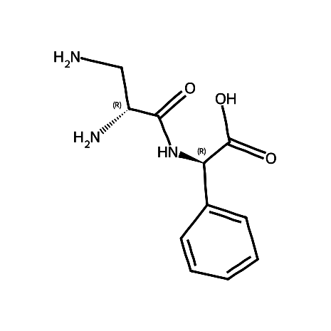 NC[C@@H](N)C(=O)N[C@@H](C(=O)O)c1ccccc1